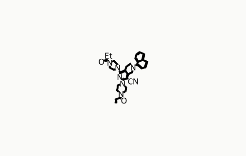 C=CC(=O)N1CCN(c2nc(N3CCN(C(=O)CC)CC3)c3c(c2C#N)CN(c2cccc4ccccc24)CC3)CC1